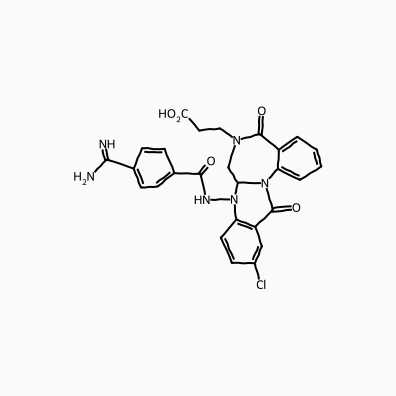 N=C(N)c1ccc(C(=O)NN2c3ccc(Cl)cc3C(=O)N3c4ccccc4C(=O)N(CCC(=O)O)CC23)cc1